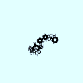 CC(Oc1cccc(-c2cccc(-n3ncc(C(=O)O)c3C3=C(c4cn(C)nn4)C3)c2)c1)C1CCCCCC1